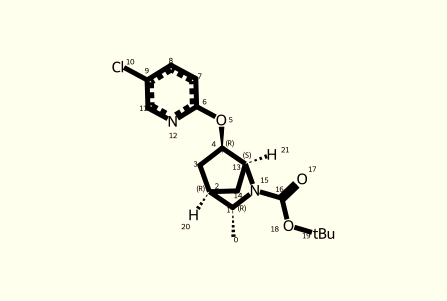 C[C@@H]1[C@H]2C[C@@H](Oc3ccc(Cl)cn3)[C@H](C2)N1C(=O)OC(C)(C)C